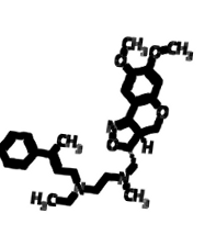 CCN(C/C=C(\C)c1ccccc1)CCN(C)C[C@@H]1ON=C2c3cc(OC)c(OC)cc3OC[C@H]21